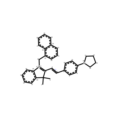 CC1(C)C(/C=C/c2ccc(N3CCCC3)cc2)=[N+](Cc2cccc3ccccc23)c2ccccc21